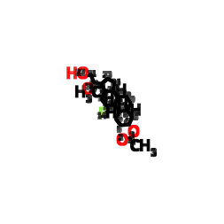 CC(=O)O[C@@H]1CC[C@H]2[C@@H](CC[C@@H]3[C@@H]2[C@H](F)C[C@]2(C)[C@@H](C(=O)CO)CC[C@@H]32)C1